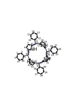 c1ccc(/C2=c3\cc/c([nH]3)=C(\c3ccccc3)c3ccc([nH]3)/C(c3ccccc3)=c3/cc/c([nH]3)=C(\c3ccccc3)c3ccc2[nH]3)cc1